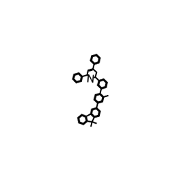 Cc1cc(-c2ccc3c(c2)-c2ccccc2C3(C)C)ccc1-c1cccc(C2CC(c3ccccc3)=CC(c3ccccc3)=N2)c1